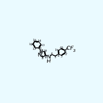 FC(F)(F)c1ccc(CCNc2cnn(-c3ccccc3)c2)cc1